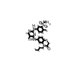 CCCCN1C(=O)CSc2ccc(Nc3nc(Nc4ccc(C)c(S(N)(=O)=O)c4)ncc3C)cc21